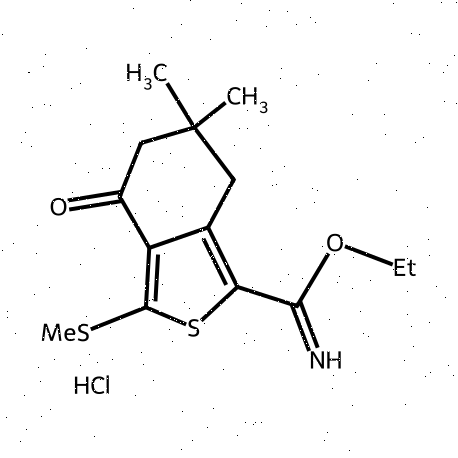 CCOC(=N)c1sc(SC)c2c1CC(C)(C)CC2=O.Cl